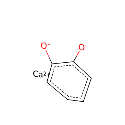 [Ca+2].[O-]c1ccccc1[O-]